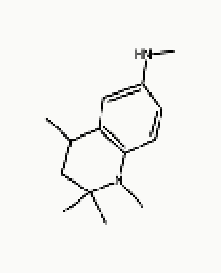 CNc1ccc2c(c1)C(C)CC(C)(C)N2C